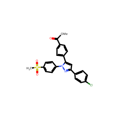 COC(=O)c1ccc(-c2cc(-c3ccc(Cl)cc3)nn2-c2ccc(S(C)(=O)=O)cc2)cc1